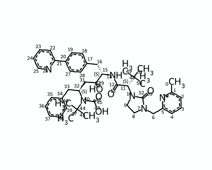 Cc1cccc(CN2CCN([C@H](C(=O)N[C@@H](Cc3ccc(-c4ccccn4)cc3)[C@@H](O)C[C@H](Cc3ccccc3)N(C(=O)O)C(C)(C)C)C(C)(C)C)C2=O)n1